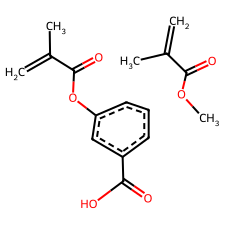 C=C(C)C(=O)OC.C=C(C)C(=O)Oc1cccc(C(=O)O)c1